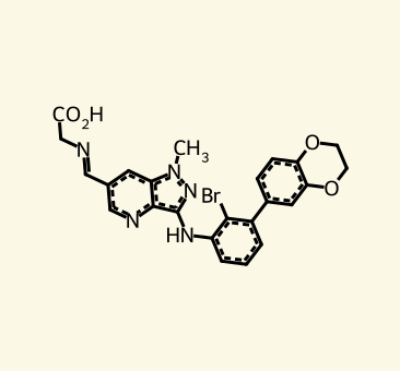 Cn1nc(Nc2cccc(-c3ccc4c(c3)OCCO4)c2Br)c2ncc(C=NCC(=O)O)cc21